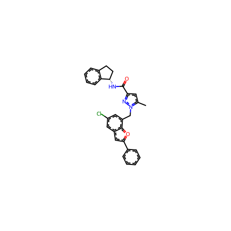 Cc1cc(C(=O)N[C@H]2CCc3ccccc32)nn1Cc1cc(Cl)cc2cc(-c3ccccc3)oc12